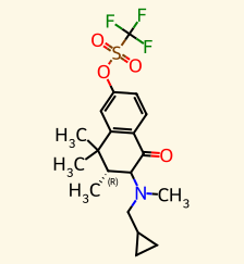 C[C@H]1C(N(C)CC2CC2)C(=O)c2ccc(OS(=O)(=O)C(F)(F)F)cc2C1(C)C